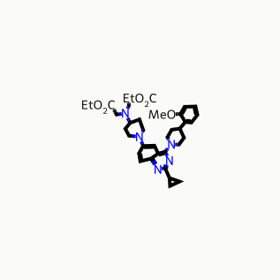 CCOC(=O)CN(CC(=O)OCC)C1CCN(c2ccc3nc(C4CC4)nc(N4CCC(c5ccccc5OC)CC4)c3c2)CC1